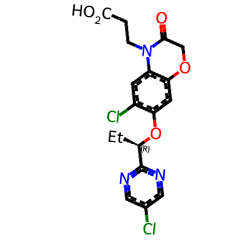 CC[C@@H](Oc1cc2c(cc1Cl)N(CCC(=O)O)C(=O)CO2)c1ncc(Cl)cn1